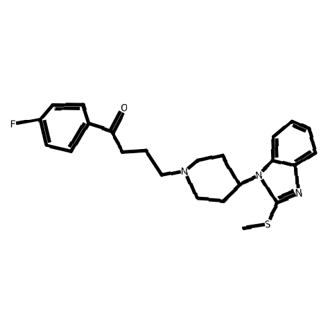 CSc1nc2ccccc2n1C1CCN(CCCC(=O)c2ccc(F)cc2)CC1